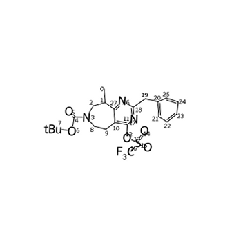 CC1CN(C(=O)OC(C)(C)C)CCc2c(OS(=O)(=O)C(F)(F)F)nc(Cc3ccccc3)nc21